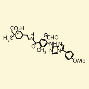 COc1ccc(-c2cnc3c(Nc4ccc(C(=O)NCCC5CC[N+](C)(CC(=O)O)CC5)c(C)c4)nccn23)cc1.O=C[O-]